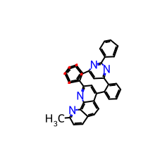 Cc1ccc2ccc3c(-c4ccccc4-c4cc(-c5ccccc5)nc(-c5ccccc5)n4)cc(-c4ccccc4)nc3c2n1